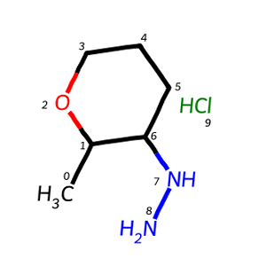 CC1OCCCC1NN.Cl